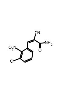 N#CC(=Cc1cccc(Cl)c1[N+](=O)[O-])C(N)=O